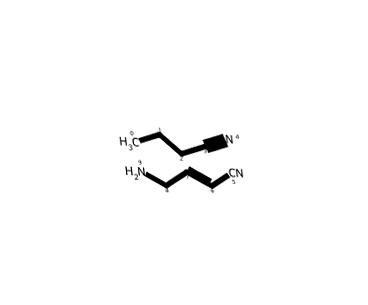 CCCC#N.N#CC=CCN